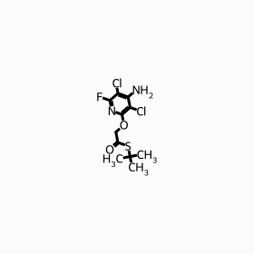 CC(C)(C)SC(=O)COc1nc(F)c(Cl)c(N)c1Cl